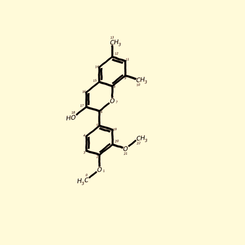 COc1ccc(C2Oc3c(C)cc(C)cc3C=C2O)cc1OC